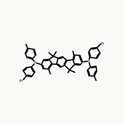 Cc1ccc(N(c2ccc(C(C)C)cc2)c2cc(C)c3c(c2)C(C)(C)c2cc4c(cc2-3)C(C)(C)c2cc(N(c3ccc(C)cc3)c3ccc(C(C)C)cc3)cc(C)c2-4)cc1